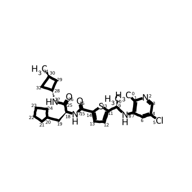 Cc1ncc(Cl)cc1N[C@@H](C)c1ccc(C(=O)N[C@@H](CC2CCCC2)C(=O)N[C@H]2C[C@H](C)C2)s1